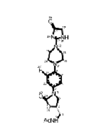 CC(=O)NC[C@H]1CN(c2ccc(N3CCN(C4=NC(=O)CN4)CC3)c(F)c2)C(=O)O1